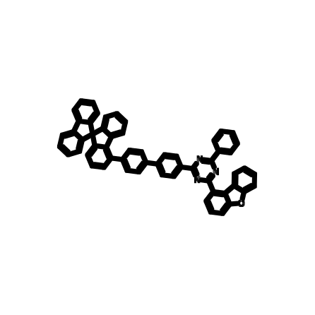 c1ccc(-c2nc(-c3ccc(-c4ccc(-c5cccc6c5-c5ccccc5C65c6ccccc6-c6ccccc65)cc4)cc3)nc(-c3cccc4oc5ccccc5c34)n2)cc1